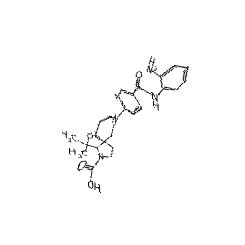 CC(C)(C)C1N(C(=O)O)CCC12CCN(c1ccc(C(=O)Nc3ccccc3N)cn1)C2